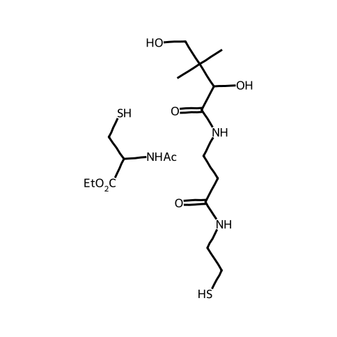 CC(C)(CO)C(O)C(=O)NCCC(=O)NCCS.CCOC(=O)C(CS)NC(C)=O